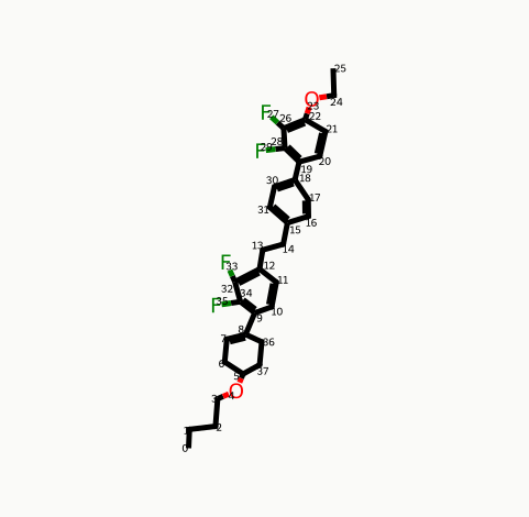 CCCCOC1CC=C(c2ccc(CCc3ccc(-c4ccc(OCC)c(F)c4F)cc3)c(F)c2F)CC1